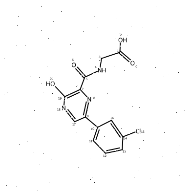 O=C(O)CNC(=O)c1nc(-c2cccc(Cl)c2)cnc1O